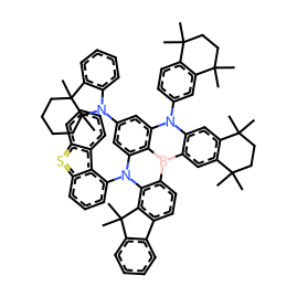 CC1(C)CCC(C)(C)c2cc(N3c4cc5c(cc4B4c6ccc7c(c6N(c6cccc8sc9ccccc9c68)c6cc(N8c9ccccc9C9(C)CCCCC89C)cc3c64)C(C)(C)c3ccccc3-7)C(C)(C)CCC5(C)C)ccc21